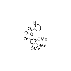 COc1cc(C(=O)C(=O)OC(=O)C2CCCCN2)cc(OC)c1OC